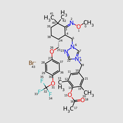 CON=C1C(Cn2c[n+](Cc3cc(C)c(OC(C)=O)c(C)c3)cn2)[C@H](COc2ccc(OC(F)(F)F)cc2)CCC1(C)C.[Br-]